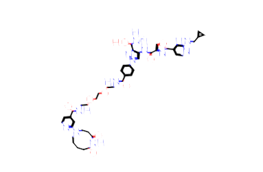 NC(O)c1nn(-c2ccc(C(=O)NCCOCCOCCNC(=O)c3ccnc(N4CCCCC(=O)NC(=O)CC4)c3)cc2)cc1NC(=O)c1coc(-c2ccnc(NCC3CC3)c2)n1